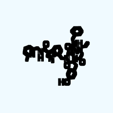 C=CCN1CC(=O)N2[C@@H](Cc3ccc(O)cc3)C(=O)N(Cc3cccc4c(C(=O)NCc5cccc(C)n5)cn(C)c34)C[C@@H]2N1C(=O)NCc1ccccc1